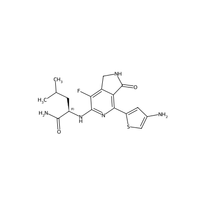 CC(C)C[C@@H](Nc1nc(-c2cc(N)cs2)c2c(c1F)CNC2=O)C(N)=O